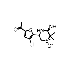 CC(=O)c1cc(Cl)c(C2C[S+]([O-])C(C)(C)C(=N)N2)s1